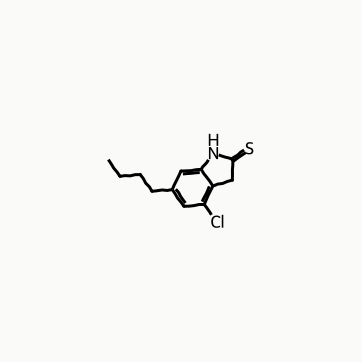 CCCCc1cc(Cl)c2c(c1)NC(=S)C2